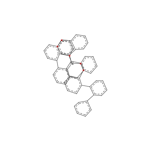 c1ccc(-c2ccccc2-c2ccccc2-c2ccccc2N(c2ccccc2-c2cccc3cccc(C4CCCCC4)c23)c2cccc3ccccc23)cc1